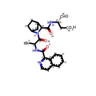 CC(C)(C)C(NC(=O)c1nccc2ccccc12)C(=O)N1C2CCC(C2)C1C(=O)N[C@H](C=O)CC(=O)O